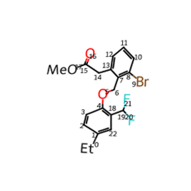 CCc1ccc(OCc2c(Br)cccc2CC(=O)OC)c(C(F)F)c1